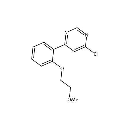 COCCOc1ccccc1-c1cc(Cl)ncn1